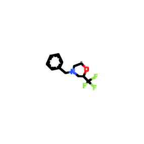 FC(F)(F)C1CN(Cc2ccccc2)C[CH]O1